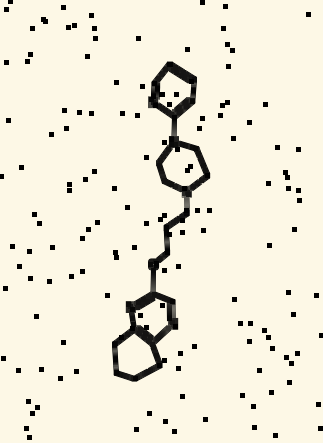 c1ccc(N2CCN(CCCOc3cnc4c(n3)CCCC4)CC2)nc1